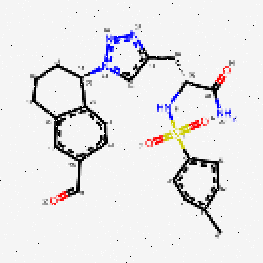 Cc1ccc(S(=O)(=O)N[C@H](Cc2cn([C@@H]3CCCc4cc(C=O)ccc43)nn2)C(N)=O)cc1